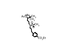 CCCCC(C)(C)C(CCCN(CCCc1ccc(C(=O)OCC)cc1)S(C)(=O)=O)OC(C)=O